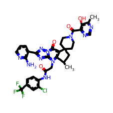 Cc1ncnc(C(=O)N2CCC3(CC2)CC(C)c2c3c(=O)n3nc(-c4cccnc4N)nc3n2CC(=O)Nc2ccc(C(F)(F)F)cc2Cl)c1O